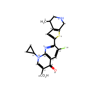 CC1CNCc2sc(-c3nc4c(cc3F)c(=O)c(C(=O)O)cn4C3CC3)cc21